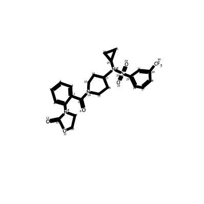 O=C(c1ccccc1N1CCOC1=O)N1CCC(N(C2CC2)S(=O)(=O)c2cccc(C(F)(F)F)c2)CC1